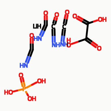 N=C=O.N=C=O.N=C=O.N=C=O.O=C(O)C(=O)O.O=P(O)(O)O.[LiH]